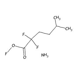 CC(C)CCC(F)(F)C(=O)OF.N